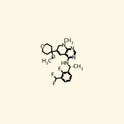 COC1(C2=Cc3c(N[C@H](C)c4cccc(C(F)F)c4F)ncnc3N(C)C2)CCOCC1